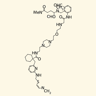 C=N/C=C\SCNc1cccc(CC2(C(=O)NCCN3CCN(CCOCCNCC(=O)Nc4cccc(C=O)c4CN(C)C(C=O)CCC(=O)NC)CC3)CCCCC2)n1